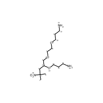 CC(C)(CC(COCCOCCCN)OCCCN)[N+](=O)[O-]